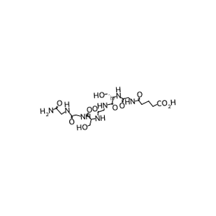 NC(=O)CNC(=O)CNC(=O)C(CO)NC(=O)CNC(=O)[C@H](CO)NC(=O)CNC(=O)CCCC(=O)O